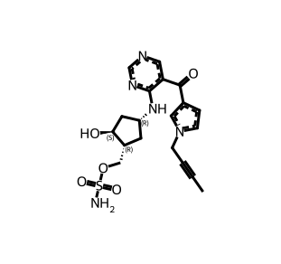 CC#CCn1ccc(C(=O)c2cncnc2N[C@@H]2C[C@H](COS(N)(=O)=O)[C@@H](O)C2)c1